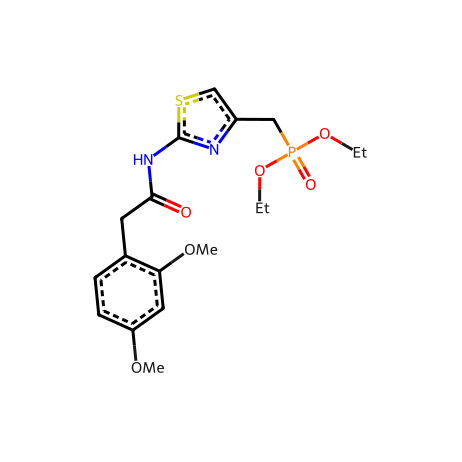 CCOP(=O)(Cc1csc(NC(=O)Cc2ccc(OC)cc2OC)n1)OCC